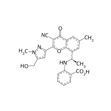 Cc1cc([C@@H](C)Nc2ccccc2C(=O)O)c2oc(-c3cc(CO)n(C)n3)c(C#N)c(=O)c2c1